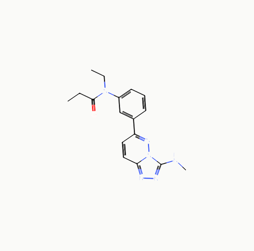 CCC(=O)N(CC)c1cccc(-c2ccc3nnc(NC)n3n2)c1